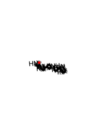 Fc1cnc(Nc2ccc(-c3ccc4nc5c(n4c3)CCNC5)cc2)nc1-c1cnc2cccnn12